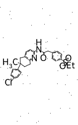 CCS(=O)(=O)c1ccc(CC(=O)Nc2ccc3c(n2)CCC(C)(c2ccc(Cl)cc2)C3)cc1